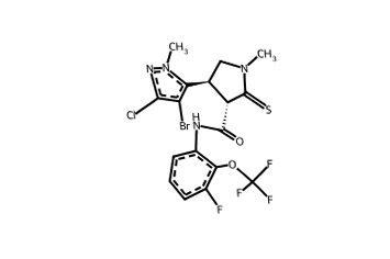 CN1C[C@H](c2c(Br)c(Cl)nn2C)[C@@H](C(=O)Nc2cccc(F)c2OC(F)(F)F)C1=S